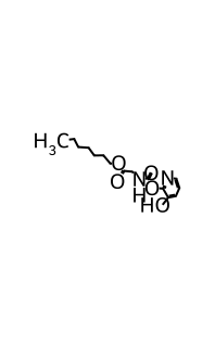 CCCCCCCOC(=O)CNC(=O)Oc1ncccc1O